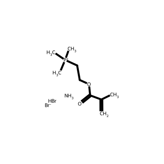 Br.C=C(C)C(=O)OCC[P+](C)(C)C.N.[Br-]